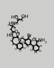 CC(C)(CC(=O)N[C@@H]1CCc2ccccc2N(Cc2ccc(-c3ccccc3C(N)=O)cc2Br)C1=O)NC[C@H](O)CO